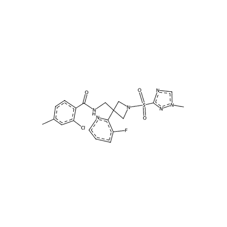 Cc1ccc(C(=O)NCC2(c3ncccc3F)CN(S(=O)(=O)c3ncn(C)n3)C2)c(Cl)c1